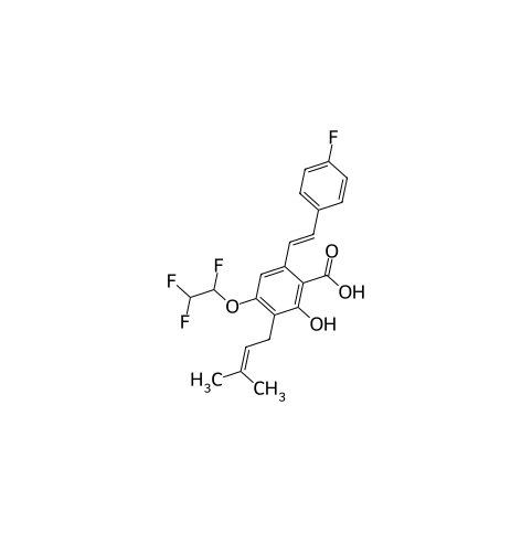 CC(C)=CCc1c(OC(F)C(F)F)cc(C=Cc2ccc(F)cc2)c(C(=O)O)c1O